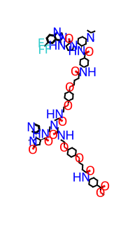 COC(=O)C1CCC(NC(=O)CCCOC2CCC(OCCNC(=O)CN(CCNC(=O)[C@H]3CC(=O)N(C)[C@@H]3c3cccnc3)CC(=O)NCCOC3CCC(OCCCC(=O)NC4CCC(C(=O)N[C@@H]5C[C@H](N(C)C(C)C)CC[C@@H]5N5CC[C@H](Nc6ncnc7ccc(C(F)(F)F)cc67)C5=O)CC4)CC3)CC2)CC1